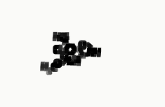 COCC(=O)NCC[C@@H]1CNCCO[C@H]1c1ccc(Cl)c(F)c1.Cl